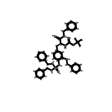 CC(C)(C)OC(=O)N[C@@H](Cc1ccc(OP(=O)(OCc2ccccc2)OCc2ccccc2)c(OCc2ccccc2)c1)C(=O)OCc1ccccc1